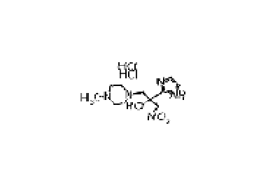 CN1CCN(CC(O)(C[N+](=O)[O-])c2ncc[nH]2)CC1.Cl.Cl